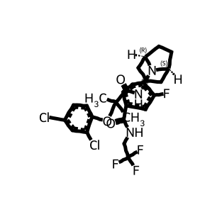 CC(C)(Oc1ccc(Cl)cc1Cl)C(=O)N[C@H]1C[C@H]2CC[C@@H](C1)N2c1ccc(C(=O)NCC(F)(F)F)cc1F